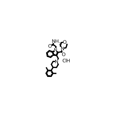 Cc1cccc(C)c1C1CCN(Cc2c(C(=O)N3CCOCC3)n(CC(N)=O)c3ccccc23)CC1.Cl